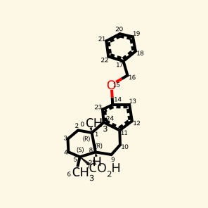 C[C@@]12CCC[C@](C)(C(=O)O)[C@@H]1CCc1ccc(OCc3ccccc3)cc12